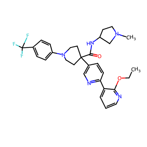 CCOc1ncccc1-c1ccc(C2(C(=O)NC3CCN(C)C3)CCN(c3ccc(C(F)(F)F)cc3)CC2)cn1